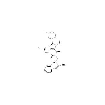 CCn1c(N2CCCC(N)C2)nc2c1c(=O)n(Cc1nc3ccccc3cc1C#N)c(=O)n2CC(=O)OC